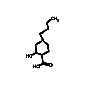 CCCCN1CCC(C(=O)O)C(O)C1